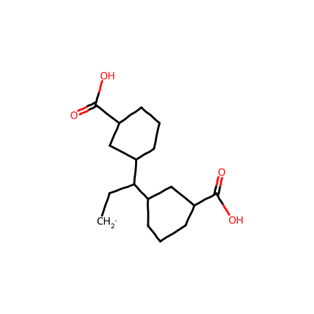 [CH2]CC(C1CCCC(C(=O)O)C1)C1CCCC(C(=O)O)C1